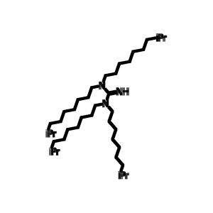 CC(C)CCCCCCCN(CCCCCCCC(C)C)C(=N)N(CCCCCCCC(C)C)CCCCCCCC(C)C